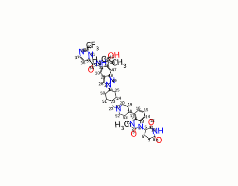 Cn1c(=O)n(C2CCC(=O)NC2=O)c2cccc(C3CCN(C[C@H]4CC[C@H](n5cc6cc(NC(=O)c7ccnc(C(F)(F)F)n7)c(C(C)(C)O)cc6n5)CC4)CC3)c21